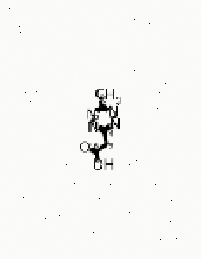 Cc1nnc(CC(=O)O)nn1